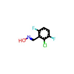 ON=Cc1c(F)ccc(F)c1Cl